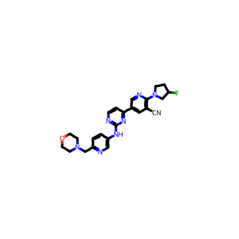 N#Cc1cc(-c2ccnc(Nc3ccc(CN4CCOCC4)nc3)n2)cnc1N1CCC(F)C1